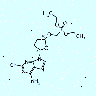 CCOP(=O)(CO[C@@H]1CC[C@H](n2cnc3c(N)nc(Cl)nc32)O1)OCC